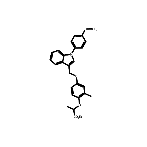 CCOC(=O)C(C)Oc1ccc(OCc2nn(-c3ccc(OC(F)(F)F)cc3)c3ccccc23)cc1C